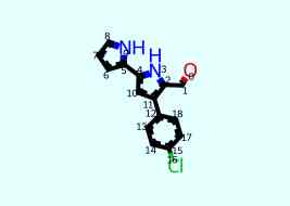 O=Cc1[nH]c(-c2ccc[nH]2)cc1-c1ccc(Cl)cc1